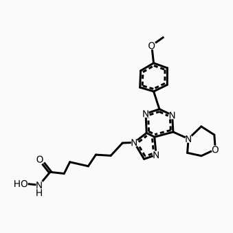 COc1ccc(-c2nc(N3CCOCC3)c3ncn(CCCCCCC(=O)NO)c3n2)cc1